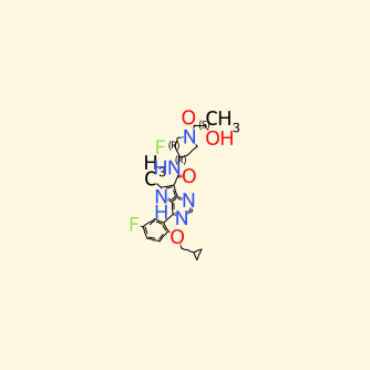 Cc1[nH]c2c(-c3cc(F)ccc3OCC3CC3)ncnc2c1C(=O)N[C@@H]1CCN(C(=O)[C@H](C)O)C[C@H]1F